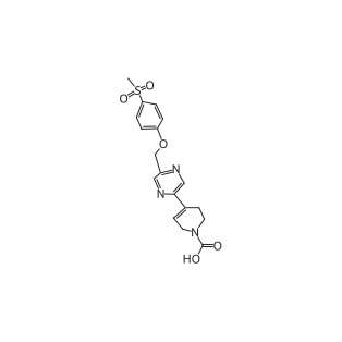 CS(=O)(=O)c1ccc(OCc2cnc(C3=CCN(C(=O)O)CC3)cn2)cc1